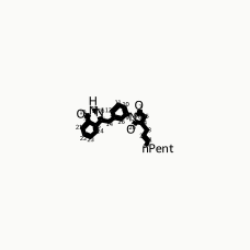 CCCCCC=CCC1CC(=O)N(c2cccc(Cc3n[nH]c(=O)c4ccccc34)c2)C1=O